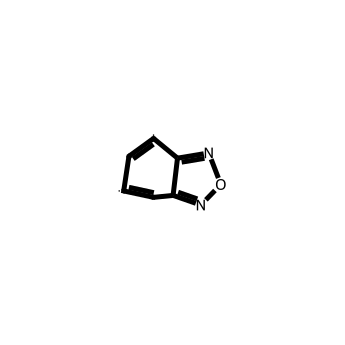 [c]1c[c]c2nonc2c1